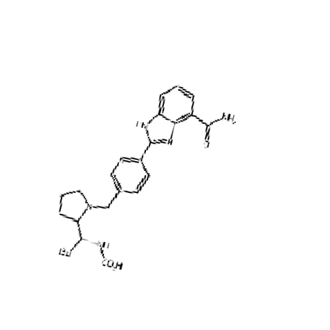 CC(C)(C)C(NC(=O)O)C1CCCN1Cc1ccc(-c2nc3c(C(N)=O)cccc3[nH]2)cc1